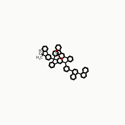 CC1(C)c2ccccc2-c2cc(C3(c4ccccc4)c4ccccc4-c4cc(C(c5cccc(-c6ccc(-c7cccc8ccccc78)c7ccccc67)c5)c5ccccc5-c5ccc6sc7ccccc7c6c5)ccc43)ccc21